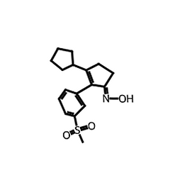 CS(=O)(=O)c1cccc(C2=C(C3CCCC3)CC/C2=N\O)c1